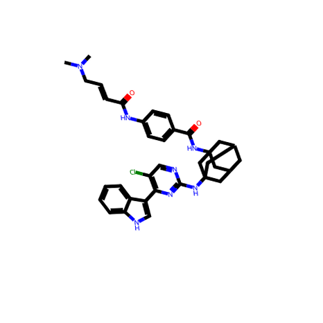 CN(C)CC=CC(=O)Nc1ccc(C(=O)NC23CC4CC(C2)CC(Nc2ncc(Cl)c(-c5c[nH]c6ccccc56)n2)(C4)C3)cc1